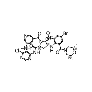 CNc1cncc(C(=O)N2C[C@H](Nc3c(C(=O)N4C[C@@H](C)O[C@@H](C)C4)cc(Br)cc3[N+](=O)[O-])C[C@H]2C(=O)Nc2cc(Cl)ncn2)c1